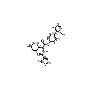 Cc1cc(NC(=O)[C@@H](NC(=O)c2ccnn2C)C2CCC(C)CC2)ncc1-c1ccnn1C